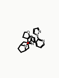 O=C(c1cccnc1-n1cccn1)N1CC2CCC(C1)N2c1nccc2c1CCO2